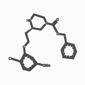 COc1ccc(Cl)c(OCC[C@@H]2CN(C(=O)OCc3ccccc3)CCN2)c1